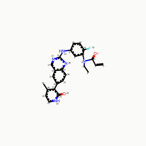 C=CC(=O)N(CC)c1cc(Nc2ncc3cc(-c4c(C)cc[nH]c4=O)ccc3n2)ccc1F